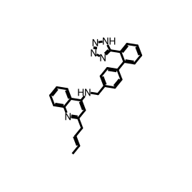 C/C=C/Cc1cc(NCc2ccc(-c3ccccc3-c3nnn[nH]3)cc2)c2ccccc2n1